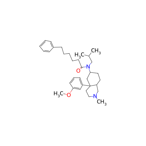 COc1cccc(C23CCN(C)CC2CCC(N(CC(C)C)C(=O)CCCCCc2ccccc2)C3)c1